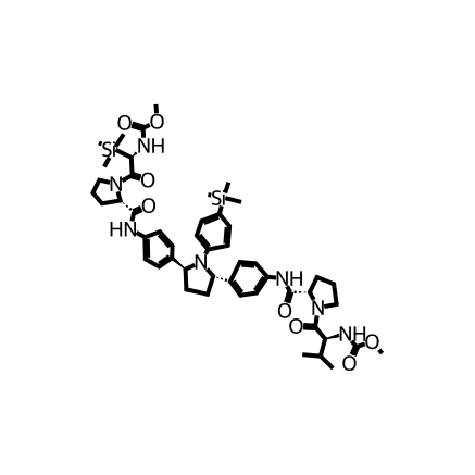 COC(=O)N[C@H](C(=O)N1CCC[C@H]1C(=O)Nc1ccc([C@@H]2CC[C@@H](c3ccc(NC(=O)[C@@H]4CCCN4C(=O)[C@@H](NC(=O)OC)[Si](C)(C)C)cc3)N2c2ccc([Si](C)(C)C)cc2)cc1)C(C)C